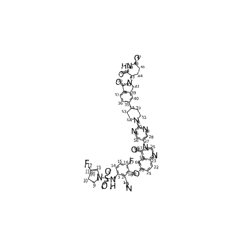 N#Cc1c(NS(=O)(=O)N2CC[C@@H](F)C2)ccc(F)c1Oc1ccc2ncn(-c3cnc(N4CCC(c5ccc6c(c5)CN(C5CCC(=O)NC5=O)C6=O)CC4)nc3)c(=O)c2c1